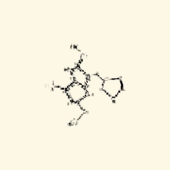 CCCCOc1nc(N)c2[nH]c(=O)n(CC3CCOC3)c2n1.Cl